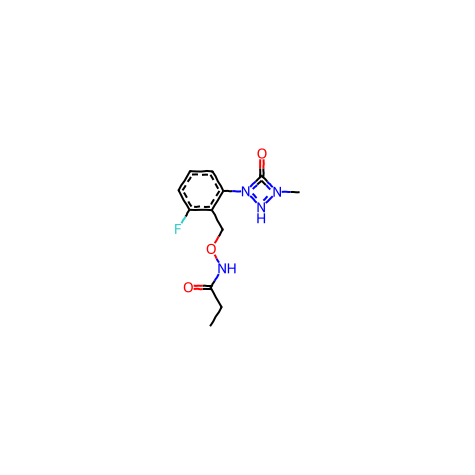 CCC(=O)NOCc1c(F)cccc1-n1[nH]n(C)c1=O